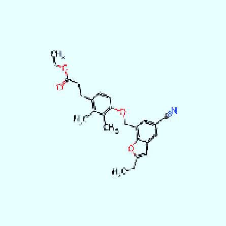 CCOC(=O)CCc1ccc(OCc2cc(C#N)cc3cc(CC)oc23)c(C)c1C